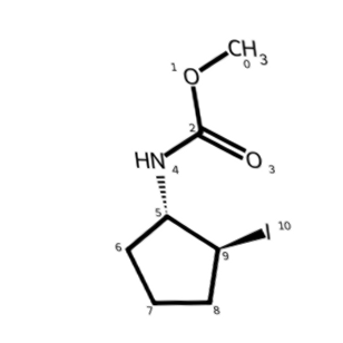 COC(=O)N[C@H]1CCC[C@@H]1I